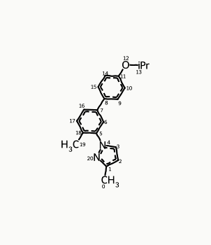 Cc1ccn(-c2cc(-c3ccc(OC(C)C)cc3)ccc2C)n1